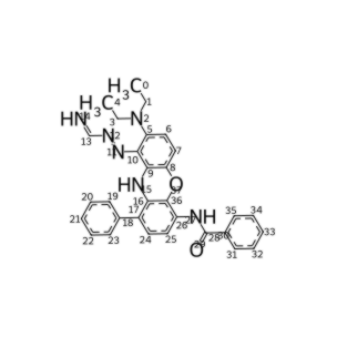 CCN(CC)c1ccc2c(c1N=NC=N)Nc1c(-c3ccccc3)ccc(NC(=O)c3ccccc3)c1O2